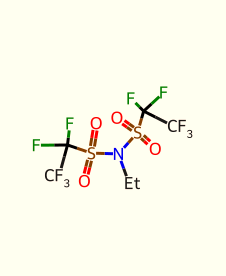 CCN(S(=O)(=O)C(F)(F)C(F)(F)F)S(=O)(=O)C(F)(F)C(F)(F)F